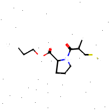 CSCCOC(=O)C1CCCN1C(=O)C(C)CSC(C)=O